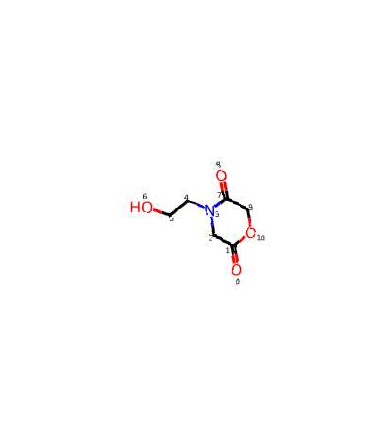 O=C1CN(CCO)C(=O)CO1